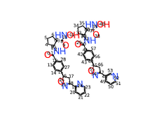 O=C(N[C@@H]1CCC[C@@H]1C(=O)NO)c1ccc(C2CC(c3ccccn3)=NO2)cc1.O=C(N[C@@H]1CCC[C@@H]1C(=O)NO)c1ccc(C2CC(c3cccnc3)=NO2)cc1